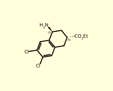 CCOC(=O)[C@@H]1Cc2cc(Cl)c(Cl)cc2[C@@H](N)C1